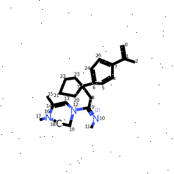 C=C(C)c1ccc(C2(C/C(=N/C)N3C=C(C)N(C)CC3)CCCC2)cc1